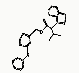 CC(C)C(C(=O)OCc1cccc(Oc2ccccc2)c1)c1cccc2ccccc12